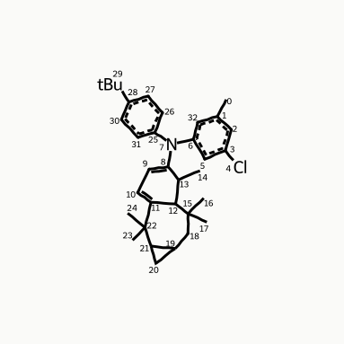 Cc1cc(Cl)cc(N(C2=CC=C3C(C2C)C(C)(C)CC2CC2C3(C)C)c2ccc(C(C)(C)C)cc2)c1